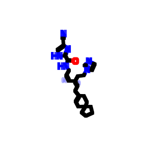 N#Cc1c[nH]c(C(=O)NC/C=C\C(=C/CC2=CCC3(CCCC3)CC2)CCn2ccnc2)n1